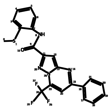 CSc1ccccc1NC(=O)c1cc2nc(-c3ccccc3)cc(C(F)(F)F)n2n1